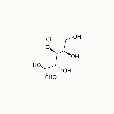 O=C[C@H](O)[C@@H](O)[C@@H](OCl)[C@H](O)CO